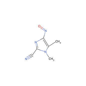 Cc1c(N=O)nc(C#N)n1C